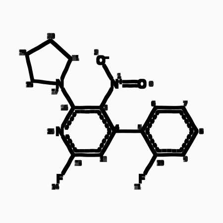 O=[N+]([O-])c1c(-c2ccccc2F)cc(F)nc1N1CCCC1